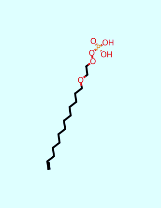 C=CCCCCCCCCCCCOCCOOP(=O)(O)O